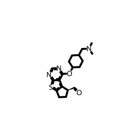 CN(C)CC1CCC(Oc2ncnc3sc4c(c23)[C@@H](C=O)CC4)CC1